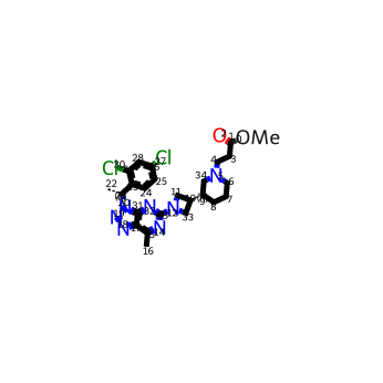 COC(=O)CCN1CCC[C@H](C2CN(c3nc(C)c4nnn([C@H](C)c5ccc(Cl)cc5Cl)c4n3)C2)C1